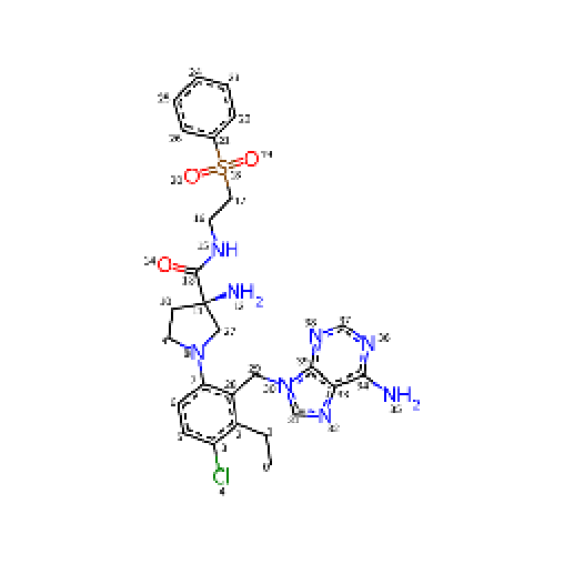 CCc1c(Cl)ccc(N2CC[C@](N)(C(=O)NCCS(=O)(=O)c3ccccc3)C2)c1Cn1cnc2c(N)ncnc21